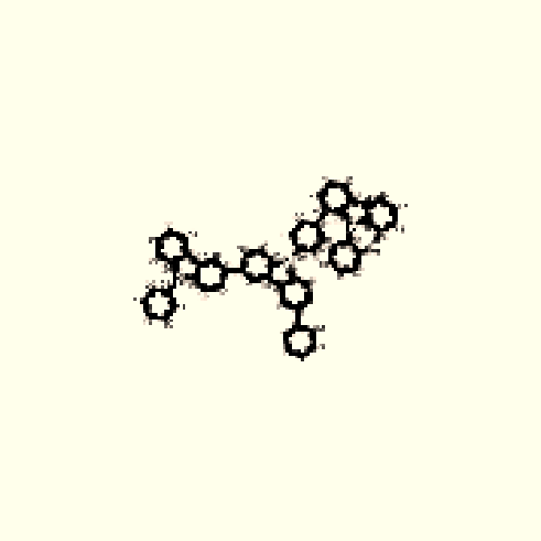 c1ccc(-c2ccc3c(c2)c2cc(-c4ccc5c(c4)c4ccccc4n5-c4ccccc4)ccc2n3-c2ccc(-c3cccc4c5cccc6c5n(c34)-c3ccccc3O6)cc2)cc1